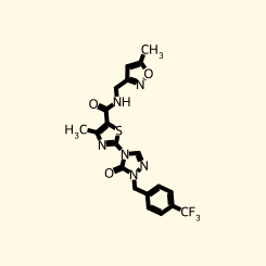 Cc1cc(CNC(=O)c2sc(-n3cnn(Cc4ccc(C(F)(F)F)cc4)c3=O)nc2C)no1